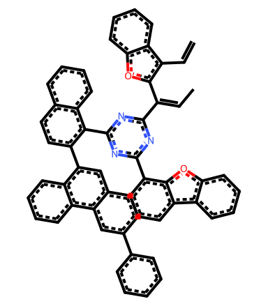 C=Cc1c(/C(=C\C)c2nc(-c3c(-c4cc5ccc(-c6ccccc6)cc5c5ccccc45)ccc4ccccc34)nc(-c3cccc4c3oc3ccccc34)n2)oc2ccccc12